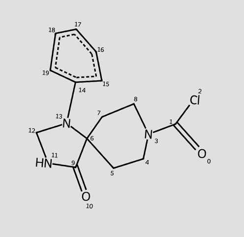 O=C(Cl)N1CCC2(CC1)C(=O)NCN2c1ccccc1